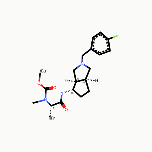 CCC[C@@H](C(=O)N[C@H]1CC[C@@H]2CN(Cc3ccc(F)cc3)C[C@@H]21)N(C)C(=O)OC(C)(C)C